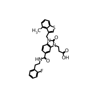 Cc1cccc2scc(Cn3c(=O)n(CCC(=O)O)c4cc(C(=O)NCCc5ccccc5F)ccc43)c12